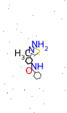 CC1(c2cccc(NC(=O)C3CCCCC3)c2)CCSC(N)=N1